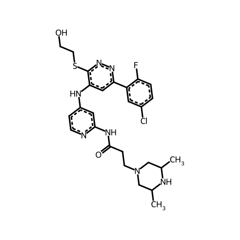 CC1CN(CCC(=O)Nc2cc(Nc3cc(-c4cc(Cl)ccc4F)nnc3SCCO)ccn2)CC(C)N1